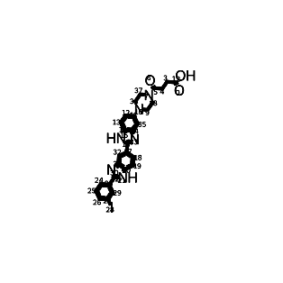 O=C(O)CCC(=O)N1CCN(c2ccc3[nH]c(-c4ccc5[nH]c(-c6cccc(I)c6)nc5c4)nc3c2)CC1